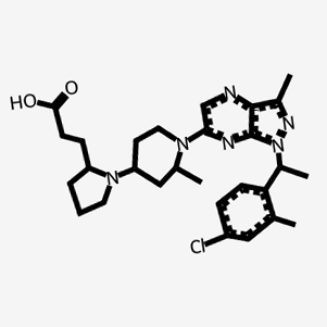 Cc1cc(Cl)ccc1C(C)n1nc(C)c2ncc(N3CCC(N4CCCC4CCC(=O)O)CC3C)nc21